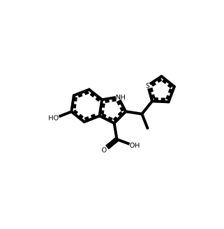 CC(c1cccs1)c1[nH]c2ccc(O)cc2c1C(=O)O